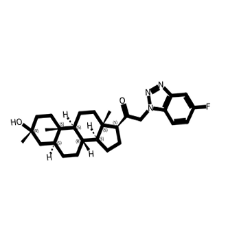 C[C@@]1(O)CC[C@@]2(C)[C@@H](CC[C@@H]3[C@@H]2CC[C@]2(C)[C@@H](C(=O)Cn4nnc5cc(F)ccc54)CC[C@@H]32)C1